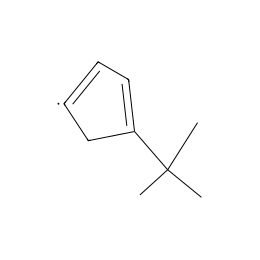 CC(C)(C)C1=CC=[C]C1